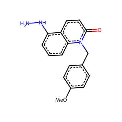 COc1ccc(Cn2c(=O)ccc3c(NN)cccc32)cc1